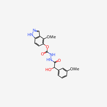 COc1cccc(C(O)C(=O)NNC(=O)Oc2ccc3[nH]ncc3c2OC)c1